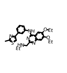 CCNCc1nc(Nc2cccc(-c3csc(C)n3)c2)c2cc(OCC)c(OCC)cc2n1